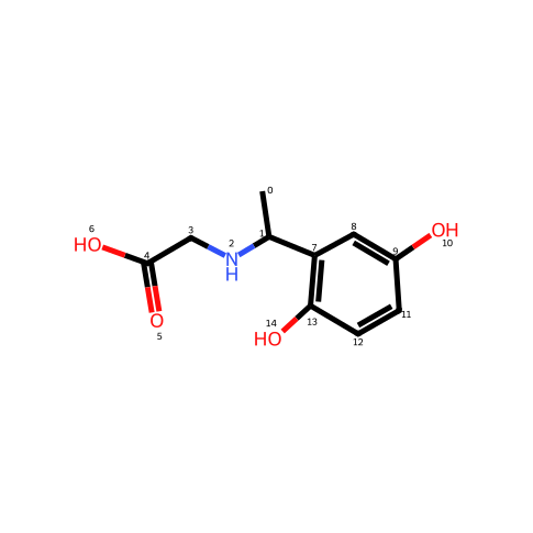 CC(NCC(=O)O)c1cc(O)ccc1O